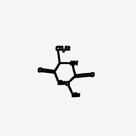 CCOC(=O)C(NC(=O)OC(C)(C)C)C(=O)C(C)CC